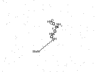 C=C(CCCCCCCCCCCCCCNC)Nc1cccc(NSc2ccc(-c3cnc(N)c(-c4ccc5c(c4)CCNC5=O)c3)c(F)c2)c1